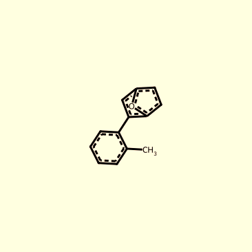 Cc1ccccc1-c1cc2ccc1o2